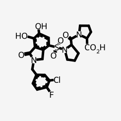 O=C(O)C1CCCN1C(=O)C1CCCN1S(=O)(=O)c1cc(O)c(O)c2c1CN(Cc1ccc(F)c(Cl)c1)C2=O